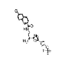 C=C(CCNC(=O)c1ccc2cc(Cl)ccc2n1)c1nnc([C@H]2C[C@@H](OC(F)(F)F)C2)o1